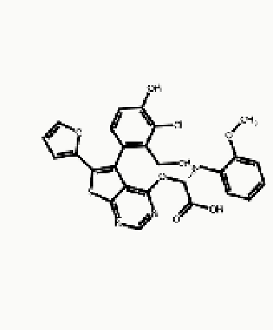 CCc1c(-c2c(-c3ccco3)sc3ncnc(O[C@H](Cc4ccccc4OC)C(=O)O)c23)ccc(O)c1Cl